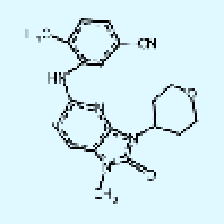 Cc1ccc(C#N)cc1Nc1ncc2c(n1)n(C1CCOCC1)c(=O)n2C